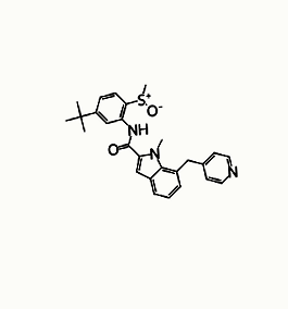 Cn1c(C(=O)Nc2cc(C(C)(C)C)ccc2[S+](C)[O-])cc2cccc(Cc3ccncc3)c21